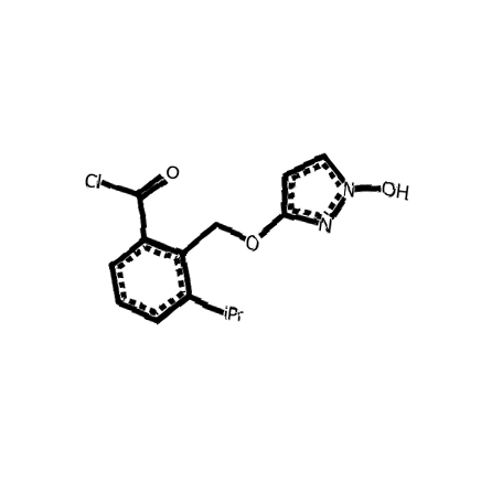 CC(C)c1cccc(C(=O)Cl)c1COc1ccn(O)n1